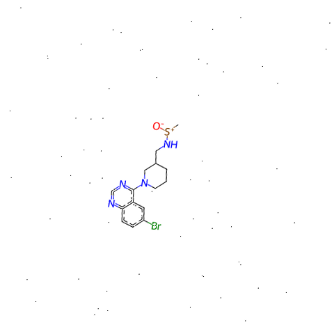 C[S+]([O-])NCC1CCCN(c2ncnc3ccc(Br)cc23)C1